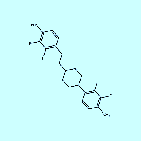 CCCc1ccc(CCC2CCC(c3ccc(C)c(F)c3F)CC2)c(F)c1F